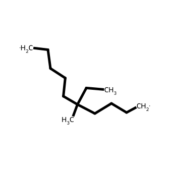 [CH2]CCCCC(C)(CC)CCC[CH2]